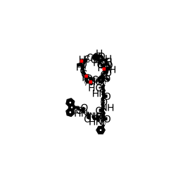 C=C1C[C@@H]2CC[C@@]34C[C@H]5OC6C(O[C@H]7CC[C@H](CC(=O)C[C@@H]8[C@@H](OC)[C@@H](C[C@H](O)CNC(=O)COCNC(=O)CNC(=O)[C@H](Cc9ccccc9)NC(=O)CNC(=O)CNC(=O)OCC9c%10ccccc%10-c%10ccccc%109)O[C@H]8C[C@H]8O[C@@H](CC[C@@H]1O2)C[C@@H](C)C8=C)O[C@@H]7[C@@H]6O3)[C@H]5O4